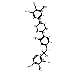 CCCc1ccc(C(F)(F)Oc2ccc(C3CCC(c4cc(F)c(F)c(F)c4)CC3)c(F)c2)c(F)c1F